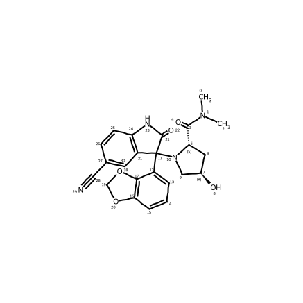 CN(C)C(=O)[C@@H]1C[C@@H](O)CN1C1(c2cccc3c2OCO3)C(=O)Nc2ccc(C#N)cc21